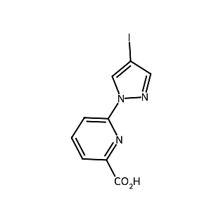 O=C(O)c1cccc(-n2cc(I)cn2)n1